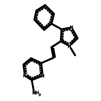 Cn1cnc(-c2ccccc2)c1/C=C/c1ccnc(N)n1